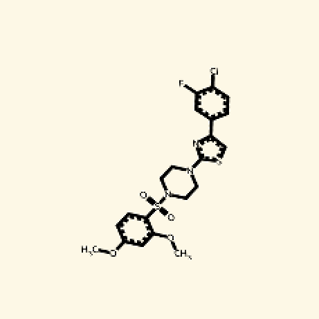 COc1ccc(S(=O)(=O)N2CCN(c3nc(-c4ccc(Cl)c(F)c4)cs3)CC2)c(OC)c1